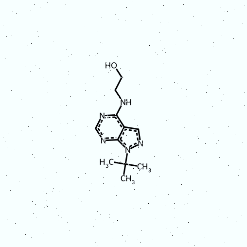 CC(C)(C)n1ncc2c(NCCO)ncnc21